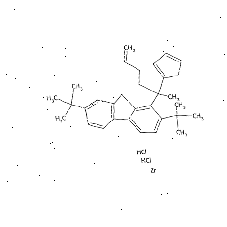 C=CCCC(C)(C1=CC=CC1)c1c(C(C)(C)C)ccc2c1Cc1cc(C(C)(C)C)ccc1-2.Cl.Cl.[Zr]